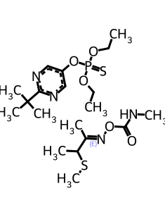 CCOP(=S)(OCC)Oc1cnc(C(C)(C)C)nc1.CNC(=O)O/N=C(\C)C(C)SC